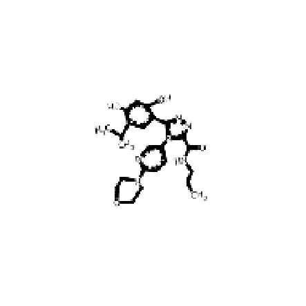 CCCNC(=O)c1nnc(-c2cc(C(C)C)c(O)cc2O)n1-c1ccc(N2CCOCC2)nc1